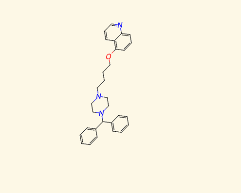 c1ccc(C(c2ccccc2)N2CCN(CCCCOc3cccc4ncccc34)CC2)cc1